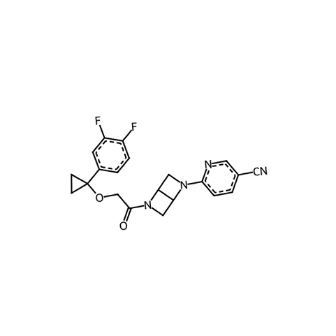 N#Cc1ccc(N2CC3C2CN3C(=O)COC2(c3ccc(F)c(F)c3)CC2)nc1